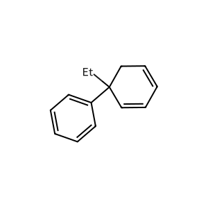 CCC1(c2ccccc2)C=CC=CC1